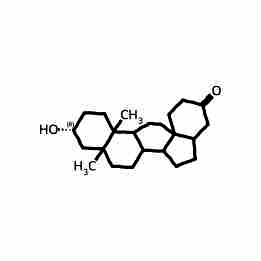 CC12CCC3C4CCC5CC(=O)CCC54CCC3C1(C)CC[C@@H](O)C2